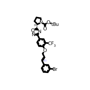 CC(C)(C)OC(=O)N1CCC[C@H]1c1nc(-c2ccc(OC/C=C/c3cccc(Br)c3)c(C(F)(F)F)c2)no1